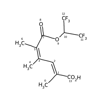 CC(=CC(C)=C(C)C(=O)OC(C(F)(F)F)C(F)(F)F)C(=O)O